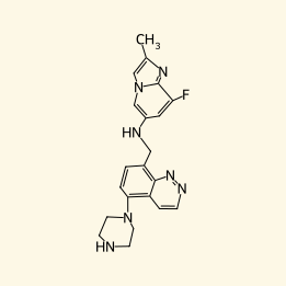 Cc1cn2cc(NCc3ccc(N4CCNCC4)c4ccnnc34)cc(F)c2n1